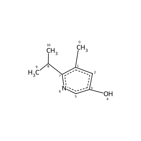 Cc1cc(O)cnc1C(C)C